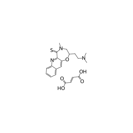 CN(C)CCC1CN(C)C(=S)c2nc3ccccc3cc2O1.O=C(O)C=CC(=O)O